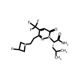 CC(C)C[C@@H](C(N)=O)n1nc(CCN2CC(F)C2)c(C(F)(F)F)cc1=O